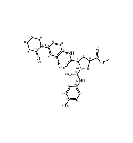 COC(=O)C1CC(C(=O)Nc2ccc(N3CCCCC3=O)cc2F)N(C(=O)Nc2ccc(Cl)cc2)C1